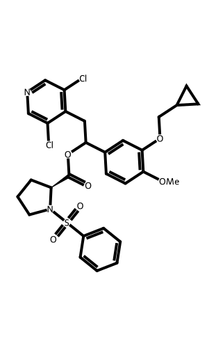 COc1ccc(C(Cc2c(Cl)cncc2Cl)OC(=O)[C@@H]2CCCN2S(=O)(=O)c2ccccc2)cc1OCC1CC1